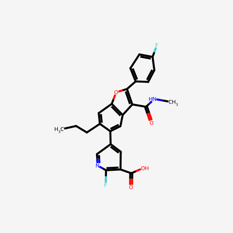 CCCc1cc2oc(-c3ccc(F)cc3)c(C(=O)NC)c2cc1-c1cnc(F)c(C(=O)O)c1